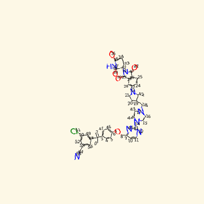 CC(C)(c1ccc(OCc2ccnc(N3CCN(CC4CCN(c5ccc6c(c5)C(=O)N(C5CCC(=O)NC5=O)C6=O)C4)CC3)n2)cc1)c1cc(Cl)cc(C#N)c1